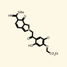 CCOC(=O)COc1cc(O)c(C(=O)CN2C=C3C=CC(C(=N)SC)C(=O)C3C2)cc1Cl